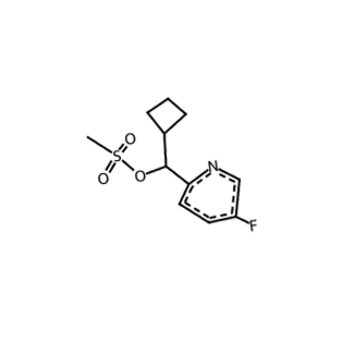 CS(=O)(=O)OC(c1ccc(F)cn1)C1CCC1